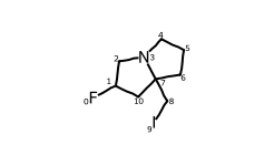 FC1CN2CCCC2(CI)C1